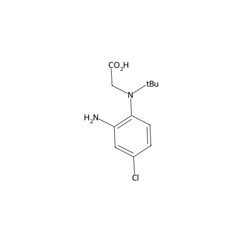 CC(C)(C)N(CC(=O)O)c1ccc(Cl)cc1N